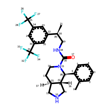 Cc1ccccc1[C@H]1[C@@H]2CNC[C@H]2CCN1C(=O)NC[C@H](C)c1cc(C(F)(F)F)cc(C(F)(F)F)c1